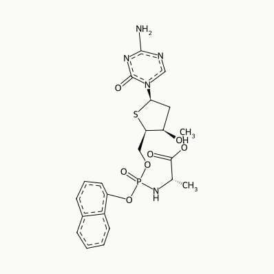 COC(=O)[C@H](C)NP(=O)(OC[C@H]1S[C@@H](n2cnc(N)nc2=O)C[C@H]1O)Oc1cccc2ccccc12